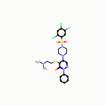 CN(C)CCSc1c(N2CCN(S(=O)(=O)c3cc(Cl)c(Cl)cc3Cl)CC2)cnn(-c2ccccc2)c1=O